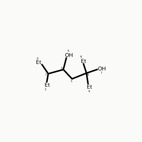 CCC(CC)C(O)CC(O)(CC)CC